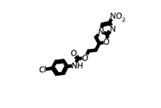 O=C(Nc1ccc(Cl)cc1)OCCC1Cn2cc([N+](=O)[O-])nc2O1